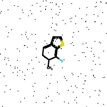 CC1CC=c2ccsc2=C1F